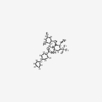 N#Cc1c(C(F)(F)F)cc(NC(=O)c2ccc(-c3ccccc3)cc2)n(Cc2ccc(F)cc2F)c1=O